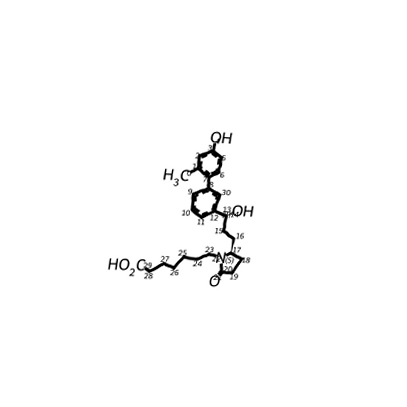 Cc1cc(O)ccc1-c1cccc([C@H](O)CC[C@H]2CCC(=O)N2CCCCCCC(=O)O)c1